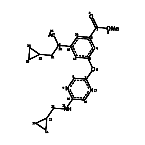 COC(=O)c1cc(Oc2cnc(NCC3CC3)cn2)cc(N(CC2CC2)C(C)=O)c1